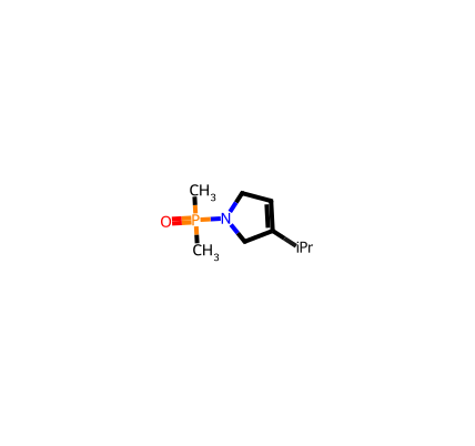 CC(C)C1=CCN(P(C)(C)=O)C1